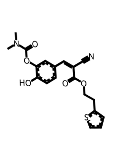 CN(C)C(=O)Oc1cc(C=C(C#N)C(=O)OCCc2cccs2)ccc1O